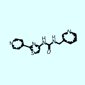 O=C(NCc1cccnc1)Nc1csc(-c2ccncc2)n1